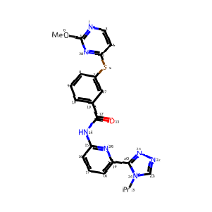 COc1nccc(Sc2cccc(C(=O)Nc3cccc(-c4nncn4C(C)C)n3)c2)n1